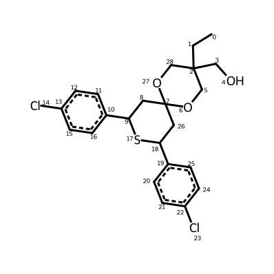 CCC1(CO)COC2(CC(c3ccc(Cl)cc3)SC(c3ccc(Cl)cc3)C2)OC1